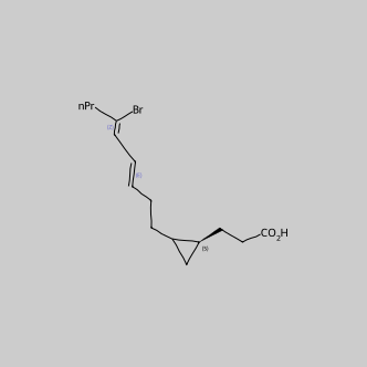 CCC/C(Br)=C/C=C/CCC1C[C@@H]1CCC(=O)O